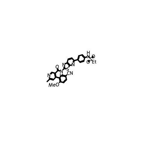 CCS(=O)(=O)Nc1ccc(-c2ccc3nc(NC(=O)c4cnc(C)cc4-c4cc(C#N)ccc4OC)sc3n2)cc1